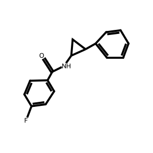 O=C(NC1CC1c1ccccc1)c1ccc(F)cc1